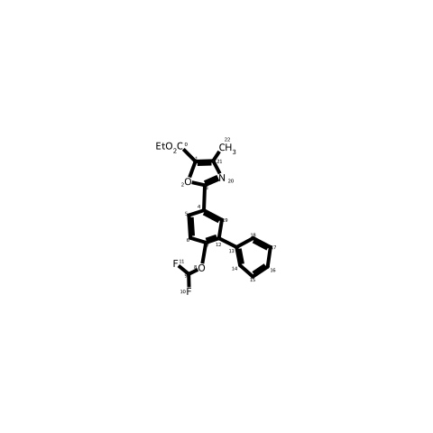 CCOC(=O)c1oc(-c2ccc(OC(F)F)c(-c3ccccc3)c2)nc1C